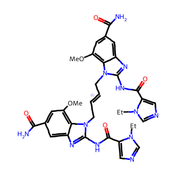 CCn1cncc1C(=O)Nc1nc2cc(C(N)=O)cc(OC)c2n1C/C=C/Cn1c(NC(=O)c2cncn2CC)nc2cc(C(N)=O)cc(OC)c21